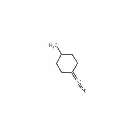 CC1CCC(=[N+]=[N-])CC1